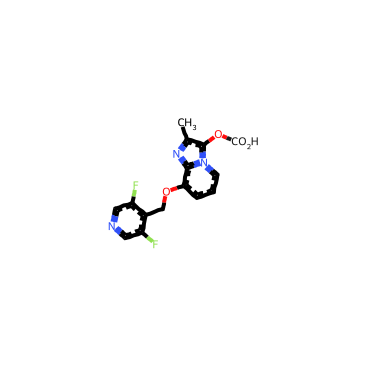 Cc1nc2c(OCc3c(F)cncc3F)cccn2c1OC(=O)O